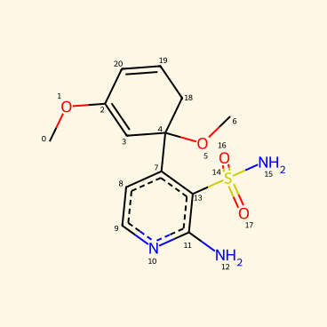 COC1=CC(OC)(c2ccnc(N)c2S(N)(=O)=O)CC=C1